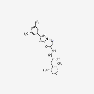 CC1COCC(C)N1CC(O)NNC(=O)/C=C\n1cnc(-c2cc(C(F)(F)F)cc(C(F)(F)F)c2)n1